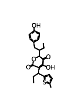 CCC(C1=C(O)C(=O)C(C(CC)Cc2ccc(O)cc2)OC1=O)c1ccc(C)s1